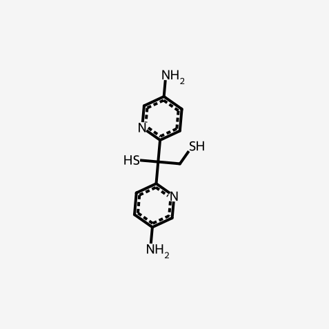 Nc1ccc(C(S)(CS)c2ccc(N)cn2)nc1